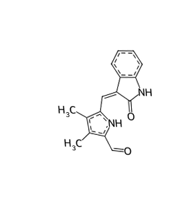 Cc1c(C=O)[nH]c(C=C2C(=O)Nc3ccccc32)c1C